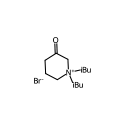 CCC(C)[N+]1(C(C)CC)CCCC(=O)C1.[Br-]